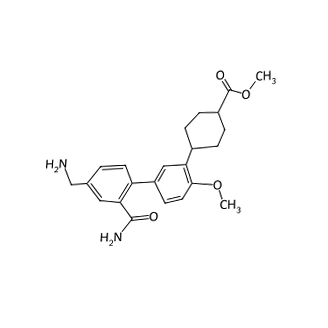 COC(=O)C1CCC(c2cc(-c3ccc(CN)cc3C(N)=O)ccc2OC)CC1